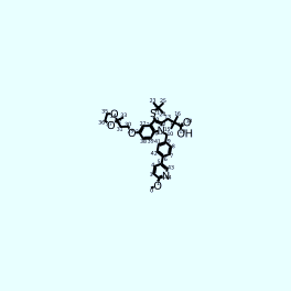 COc1ccc(-c2ccc(Cn3c(CC(C)(C)C(=O)O)c(SC(C)(C)C)c4cc(OCCC5(C)OCCO5)ccc43)cc2)cn1